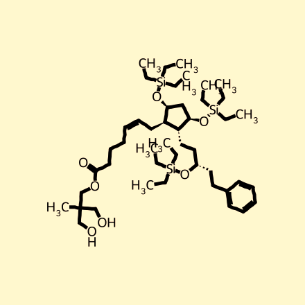 CC[Si](CC)(CC)O[C@@H](CCc1ccccc1)CC[C@@H]1[C@@H](C/C=C\CCCC(=O)OCC(C)(CO)CO)[C@@H](O[Si](CC)(CC)CC)C[C@H]1O[Si](CC)(CC)CC